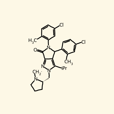 [CH2]N1CCC[C@H]1Cn1nc2c(c1C(C)C)C(c1ccc(Cl)cc1C)N(c1cc(Cl)ccc1C)C2=O